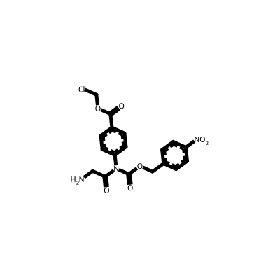 NCC(=O)N(C(=O)OCc1ccc([N+](=O)[O-])cc1)c1ccc(C(=O)OCCl)cc1